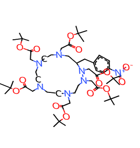 CC(C)(C)OC(=O)CN1CCN(CC(=O)OC(C)(C)C)CCN(CC(=O)OC(C)(C)C)CC(Cc2ccc([N+](=O)[O-])cc2)N(CC(=O)OC(C)(C)C)N(CC(=O)OC(C)(C)C)CCN(CC(=O)OC(C)(C)C)CC1